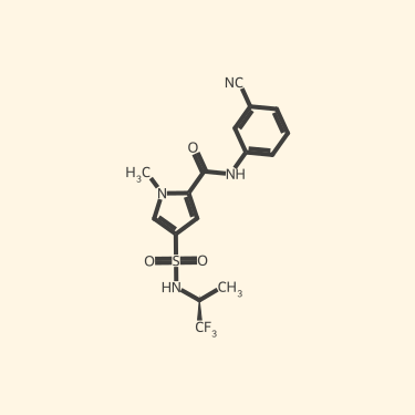 C[C@H](NS(=O)(=O)c1cc(C(=O)Nc2cccc(C#N)c2)n(C)c1)C(F)(F)F